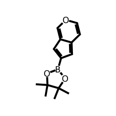 CC1(C)OB(c2cc3ccocc-3c2)OC1(C)C